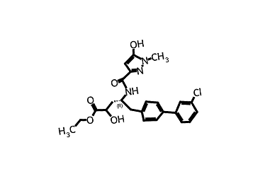 CCOC(=O)C(O)C[C@@H](Cc1ccc(-c2cccc(Cl)c2)cc1)NC(=O)c1cc(O)n(C)n1